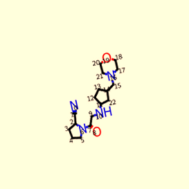 N#CC1CCCN1C(=O)CNC1CCC(CN2CCOCC2)C1